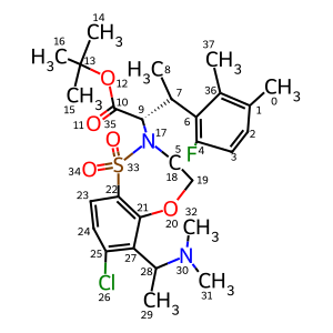 Cc1ccc(F)c(C(C)[C@@H](C(=O)OC(C)(C)C)N2CCOc3c(ccc(Cl)c3C(C)N(C)C)S2(=O)=O)c1C